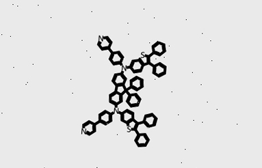 c1ccc(-c2sc3cc(N(c4ccc(-c5ccncc5)cc4)c4ccc5c(c4)C(c4ccccc4)(c4ccccc4)c4cc(N(c6ccc(-c7ccncc7)cc6)c6ccc7c(-c8ccccc8)c(-c8ccccc8)sc7c6)ccc4-5)ccc3c2-c2ccccc2)cc1